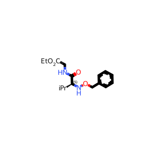 CCOC(=O)CNC(=O)[C@@H](NOCc1ccccc1)C(C)C